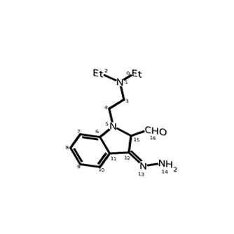 CCN(CC)CCN1c2ccccc2/C(=N/N)C1C=O